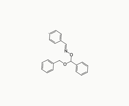 [c]1ccc(C=NOC(OCc2ccccc2)c2ccccc2)cc1